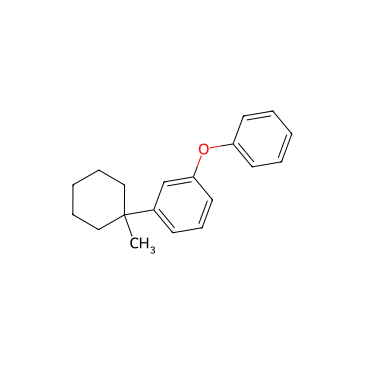 CC1(c2cccc(Oc3ccccc3)c2)CCCCC1